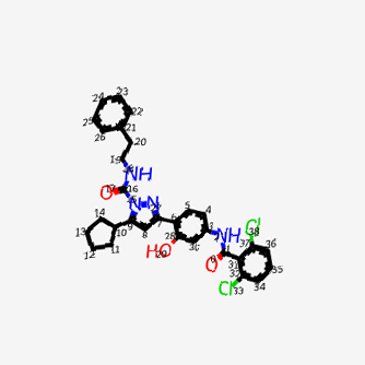 O=C(Nc1ccc(-c2cc(C3CCCC3)n(C(=O)NCCc3ccccc3)n2)c(O)c1)c1c(Cl)cccc1Cl